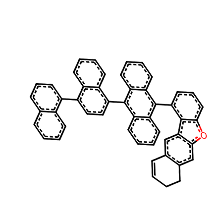 C1=Cc2cc3c(cc2CC1)oc1cccc(-c2c4ccccc4c(-c4ccc(-c5cccc6ccccc56)c5ccccc45)c4ccccc24)c13